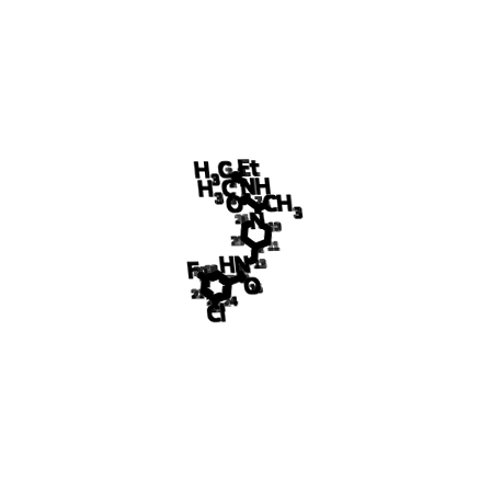 CCC(C)(C)NC(=O)C(C)N1CCC(CNC(=O)c2cc(F)cc(Cl)c2)CC1